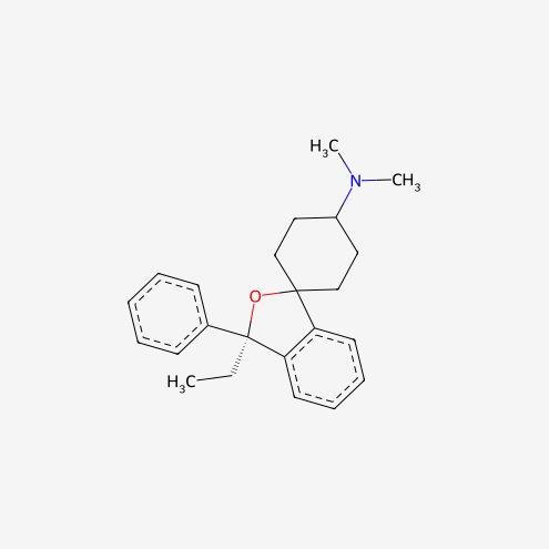 CC[C@]1(c2ccccc2)OC2(CCC(N(C)C)CC2)c2ccccc21